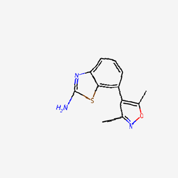 Cc1noc(C)c1-c1cccc2nc(N)sc12